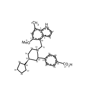 COc1cc(C)c2[nH]ccc2c1CN1CC[C@H](C2CCCC2)CC1c1ccc(C(=O)O)cc1